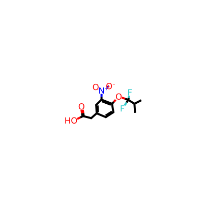 CC(C)C(F)(F)Oc1ccc(CC(=O)O)cc1[N+](=O)[O-]